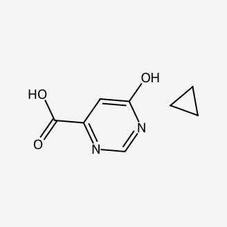 C1CC1.O=C(O)c1cc(O)ncn1